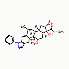 CC(=O)OCC(=O)[C@@]1(O)[C@H](C)C[C@H]2[C@@H]3C=C(C)C4=Cc5c(cnn5-c5ccccc5)C[C@]4(C)[C@H]3[C@@H](O)C[C@@H]21